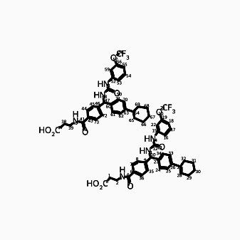 O=C(O)CCNC(=O)c1ccc(C(NC(=O)Nc2cccc(OC(F)(F)F)c2)c2ccc(C3=CCCCC3)cc2)cc1.O=C(O)CCNC(=O)c1ccc(C(NC(=O)Nc2cccc(OC(F)(F)F)c2)c2ccc(C3CCCCC3)cc2)cc1